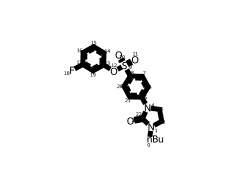 CCCCN1CCN(c2ccc(S(=O)(=O)Oc3cccc(F)c3)cc2)C1=O